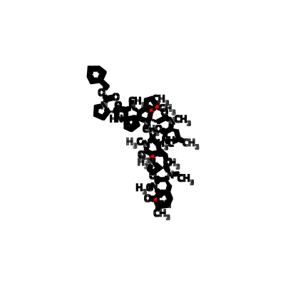 CC[C@H](C)[C@H](NC(=O)[C@H](CC(C)C)N(C)C(=O)C[C@@H](C(=O)N(C)C)N(C)C(=O)[C@H](C1CCCC1)N(C)C(=O)C1(NC(=O)[C@@H]2CCCN2C(=O)OCc2ccccc2)CCCC1)C(=O)N(C)[C@@H](C)C(=O)N1CC[C@H]1C(=O)N(CC)[C@@H](Cc1ccc(C)cc1)C(=O)N(C)CC(=O)O